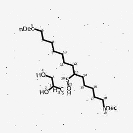 CC(O)CO.CCCCCCCCCCCCCCCCCC(CCCCCCCCCCCCCCC)SO